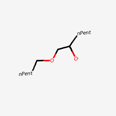 CCCCCCOCC([O])CCCCC